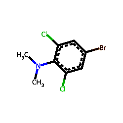 CN(C)c1c(Cl)cc(Br)cc1Cl